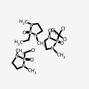 CCP1(=O)N(C)CCN1C.CN1CCN(C)P1(=O)C(Cl)(Cl)Cl.CN1CCN(C)P1(=O)CCl